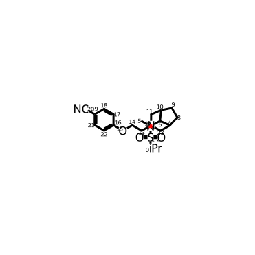 CC(C)S(=O)(=O)N(C)C1C2CCC1CN(CCOc1ccc(C#N)cc1)C2